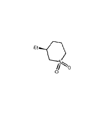 CC[C@H]1CCCS(=O)(=O)C1